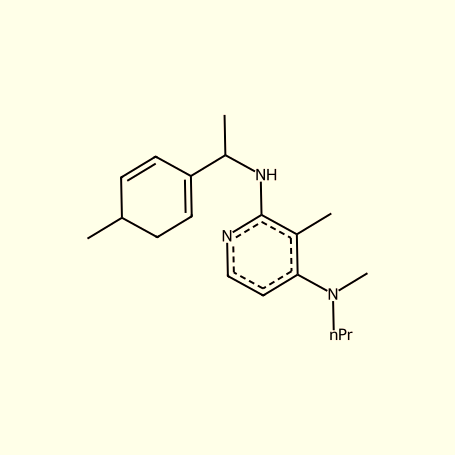 CCCN(C)c1ccnc(NC(C)C2=CCC(C)C=C2)c1C